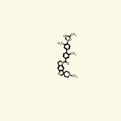 Cc1cc(C(=O)N2CCc3cc4c(cc32)C2(CCN(C)CC2)CO4)ccc1-c1ccc(N2CNC(C)O2)c(C)c1